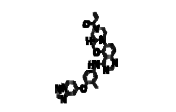 C=CC(=O)N1CCN2c3ccc4ncnc(Nc5ccc(Oc6ccn7ncnc7c6)c(C)c5)c4c3OC[C@@H]2C1